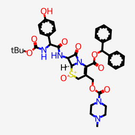 CN1CCN(C(=O)OCC2=C(C(=O)OC(c3ccccc3)c3ccccc3)N3C(=O)C(NC(=O)C(NC(=O)OC(C)(C)C)c4ccc(O)cc4)[C@@H]3[S+]([O-])C2)CC1